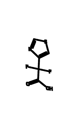 O=C(O)C(F)(F)c1cscn1